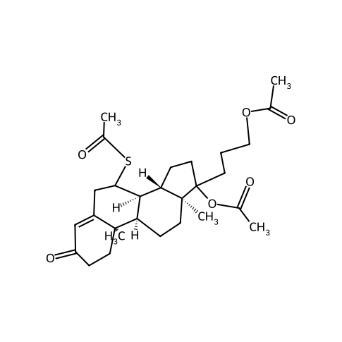 CC(=O)OCCCC1(OC(C)=O)CC[C@H]2[C@@H]3C(SC(C)=O)CC4=CC(=O)CC[C@]4(C)[C@@H]3CC[C@@]21C